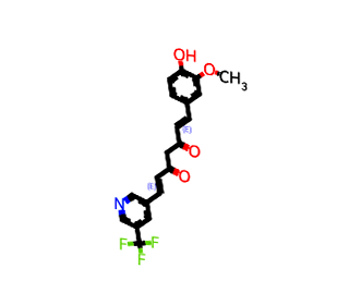 COc1cc(/C=C/C(=O)CC(=O)/C=C/c2cncc(C(F)(F)F)c2)ccc1O